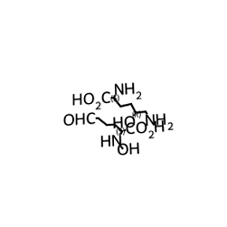 NC[C@H](O)CC[C@H](N)C(=O)O.O=CCCC[C@H](NO)C(=O)O